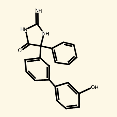 N=C1NC(=O)C(c2ccccc2)(c2cccc(-c3cccc(O)c3)c2)N1